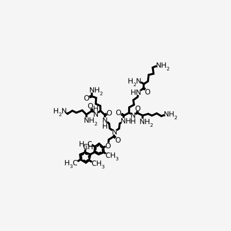 Cc1cc(C)c(-c2cc(C)c(OCC(=O)N(CCNC(=O)C(CCCCNC(=O)C(N)CCCCN)NC(=O)C(N)CCCCN)CCNC(=O)C(CCCC(N)=O)NC(=O)C(N)CCCCN)cc2C)c(C)c1